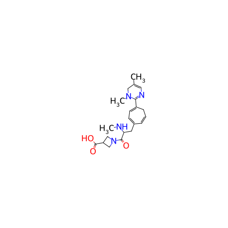 CNC(CC1=CC=C(C2=NC=C(C)CN2C)CC=C1)C(=O)N1CC(C(=O)O)C1